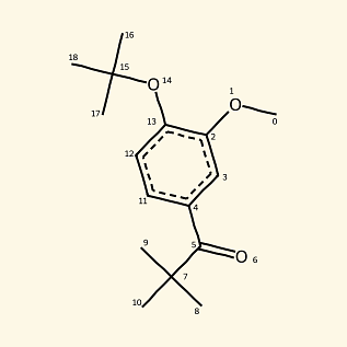 COc1cc(C(=O)C(C)(C)C)ccc1OC(C)(C)C